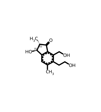 Cc1cc2c(c(CO)c1CCO)C(=O)[C@@H](C)[C@@H]2O